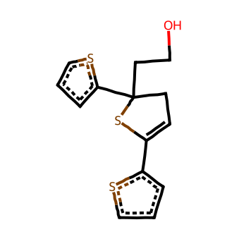 OCCC1(c2cccs2)CC=C(c2cccs2)S1